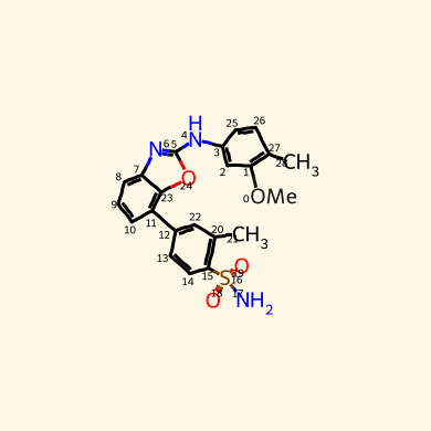 COc1cc(Nc2nc3cccc(-c4ccc(S(N)(=O)=O)c(C)c4)c3o2)ccc1C